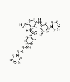 Cc1ccc(Nc2cc(F)cc(N3CCOCC3)c2)cc1NC(=O)c1ccc(NCCCN2CCOCC2)nc1